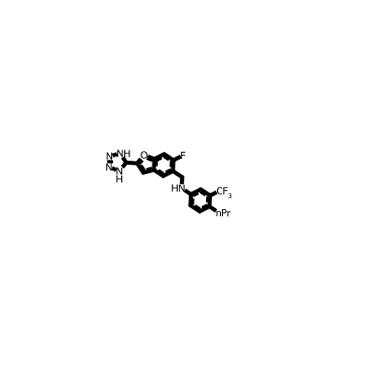 CCCc1ccc(NCc2cc3cc(C4NN=NN4)oc3cc2F)cc1C(F)(F)F